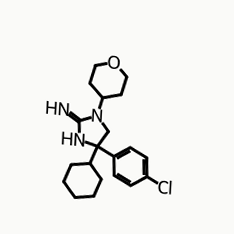 N=C1NC(c2ccc(Cl)cc2)(C2CCCCC2)CN1C1CCOCC1